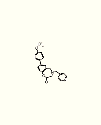 O=C1CN(Cc2ccncc2)Cc2cc(-c3ccc(OC(F)(F)F)cc3)ccc2O1